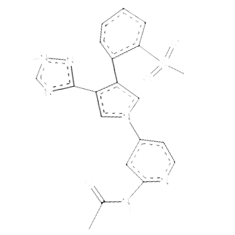 CC(=O)Nc1cc(-n2cc(-c3nc[nH]n3)c(-c3ccccc3S(C)(=O)=O)c2)ccn1